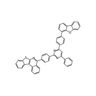 c1ccc(-c2cc(-c3ccc(-c4cccc5c4oc4ccccc45)cc3)nc(-c3ccc(-c4nc5sc6ccccc6c5c5ccccc45)cc3)n2)cc1